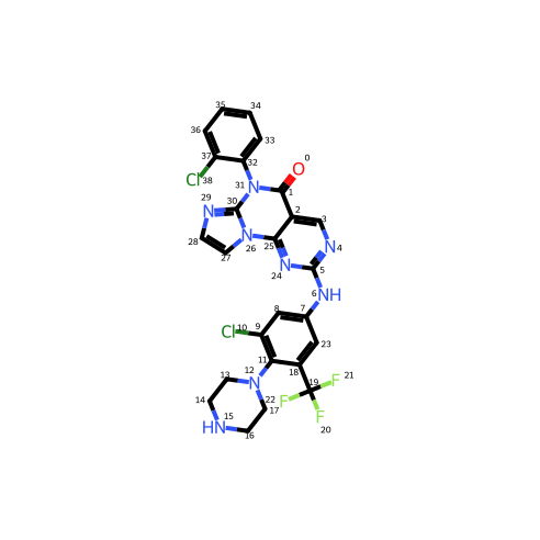 O=c1c2cnc(Nc3cc(Cl)c(N4CCNCC4)c(C(F)(F)F)c3)nc2n2ccnc2n1-c1ccccc1Cl